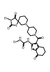 CCNC(=O)Nc1sc2c(c1C(=O)N1CCC(N3CCCC4(C3)SC(=O)N(CC)C4=O)CC1)CCCC2=O